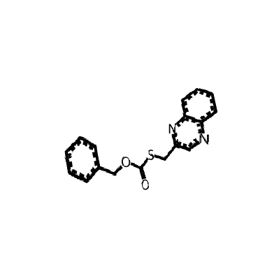 O=C(OCc1ccccc1)SCc1cnc2ccccc2n1